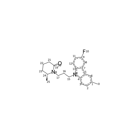 Cc1ccc2c(c1)c1cc(F)ccc1n2CCCN1C(=O)CCC[C@@H]1C